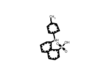 Cc1ccc(Nc2cccc3cccc(S(=O)(=O)O)c23)cc1